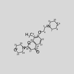 Cc1c(OCCN2CCSCC2)ccc2c(=O)cc(N3CCOCC3)oc12